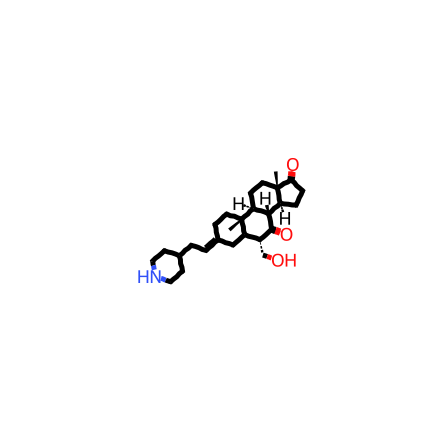 C[C@]12CCC(=CCC3CCNCC3)CC1[C@@H](CO)C(=O)[C@@H]1[C@@H]2CC[C@]2(C)C(=O)CC[C@@H]12